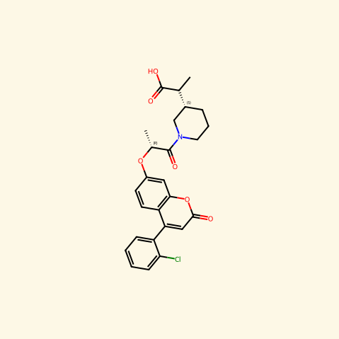 CC(C(=O)O)[C@@H]1CCCN(C(=O)[C@@H](C)Oc2ccc3c(-c4ccccc4Cl)cc(=O)oc3c2)C1